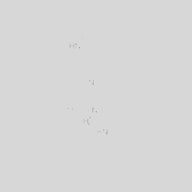 CC(C)C[C@@H](NC(CCN1C(=O)c2ccc(NS(C)(=O)=O)cc2C1=O)C(=O)O)C(=O)NCc1ccccc1